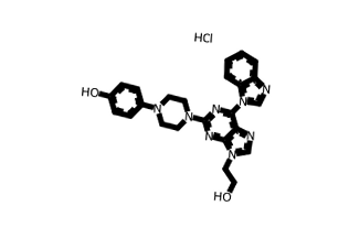 Cl.OCCn1cnc2c(-n3cnc4ccccc43)nc(N3CCN(c4ccc(O)cc4)CC3)nc21